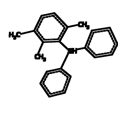 Cc1ccc(C)c([SiH](c2ccccc2)c2ccccc2)c1C